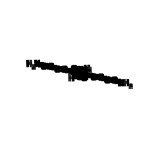 NCCOCCOCCOCCOCCNC(=O)[C@@H](O)[C@H](O)[C@H](O)[C@@H](O)C(=O)NCCOCCOCCOCCOCCN